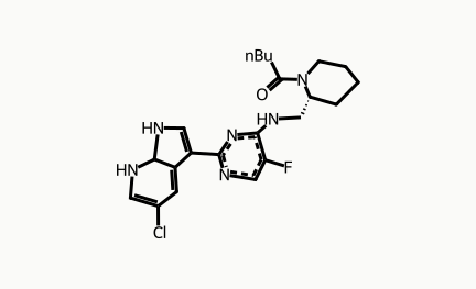 CCCCC(=O)N1CCCC[C@@H]1CNc1nc(C2=CNC3NC=C(Cl)C=C23)ncc1F